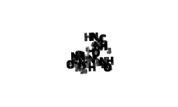 CC(=N)NCCC[C@H](NC(=O)[C@@H]1CC(=O)N1)C(=O)N1CCC[C@H]1C(N)=O